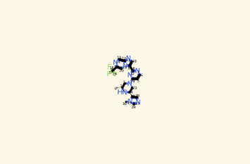 C[C@@H]1CN(c2ccnc(-c3cnc4cnc(C(F)(F)F)cn34)n2)C[C@H](c2cncn2C)N1